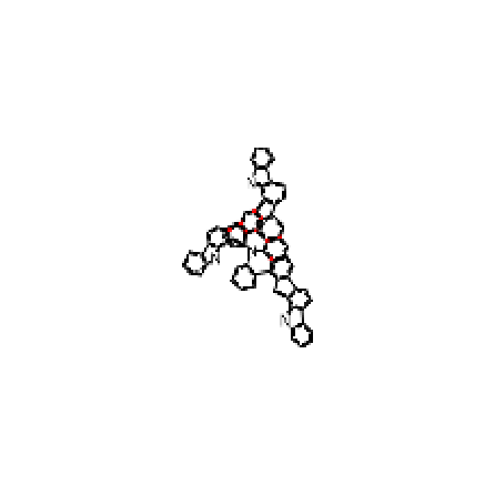 C1=c2c(ccc3c2=Nc2ccccc2-3)-c2cccc(-c3ccccc3N(c3ccccc3-c3cccc4c3C=c3c-4ccc4c3=Nc3ccccc3-4)c3ccccc3-c3cccc4c3C=c3c-4ccc4c3=Nc3ccccc3-4)c21